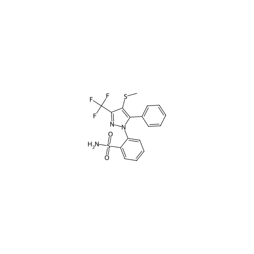 CSc1c(C(F)(F)F)nn(-c2ccccc2S(N)(=O)=O)c1-c1ccccc1